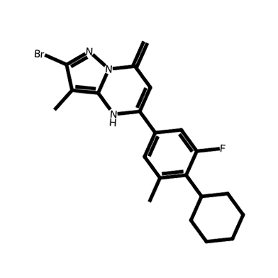 C=C1C=C(c2cc(C)c(C3CCCCC3)c(F)c2)Nc2c(C)c(Br)nn21